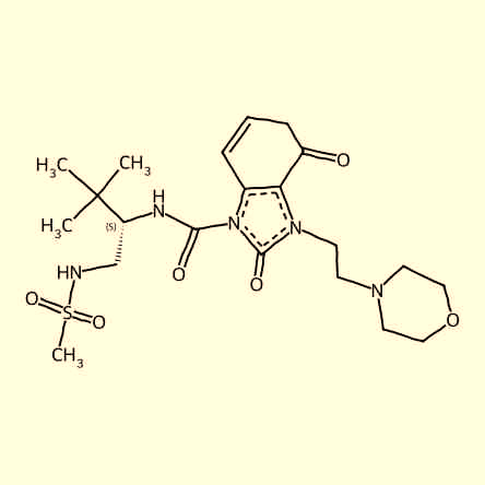 CC(C)(C)[C@@H](CNS(C)(=O)=O)NC(=O)n1c2c(n(CCN3CCOCC3)c1=O)C(=O)CC=C2